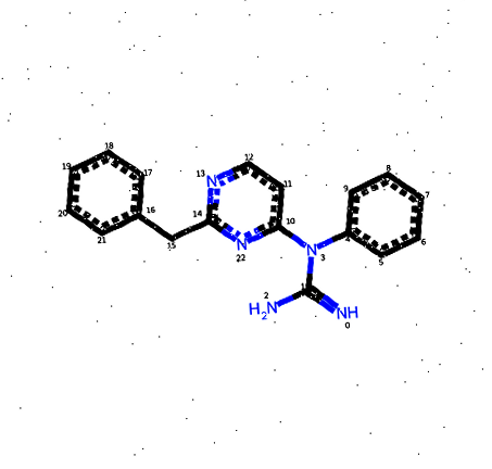 N=C(N)N(c1ccccc1)c1ccnc(Cc2ccccc2)n1